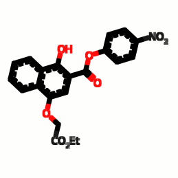 CCOC(=O)COc1cc(C(=O)Oc2ccc([N+](=O)[O-])cc2)c(O)c2ccccc12